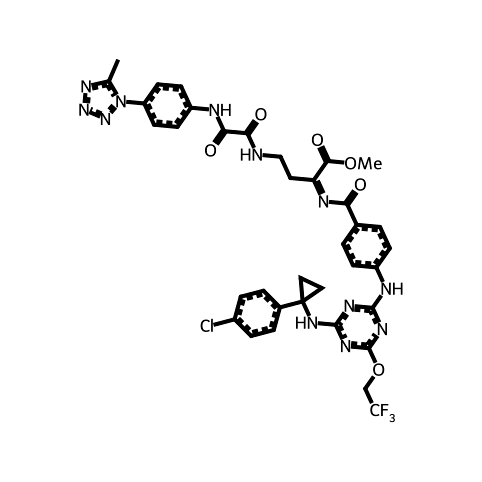 COC(=O)/C(CCNC(=O)C(=O)Nc1ccc(-n2nnnc2C)cc1)=N\C(=O)c1ccc(Nc2nc(NC3(c4ccc(Cl)cc4)CC3)nc(OCC(F)(F)F)n2)cc1